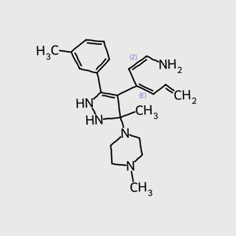 C=C/C=C(\C=C/N)C1=C(c2cccc(C)c2)NNC1(C)N1CCN(C)CC1